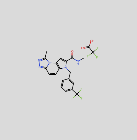 CNC(=O)c1cc2c(ccc3nnc(C)n32)n1Cc1cccc(C(F)(F)F)c1.O=C(O)C(F)(F)F